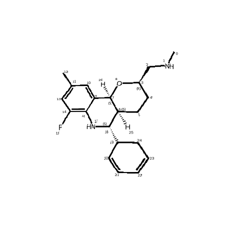 CNC[C@H]1CC[C@@H]2[C@H](O1)c1cc(C)cc(F)c1N[C@H]2C1C=CC=CC1